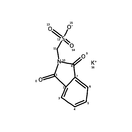 O=C1c2ccccc2C(=O)N1CS(=O)(=O)[O-].[K+]